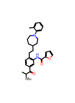 CCCCC(C)C(=O)c1ccc(CCC2CCCN(c3ccccc3C)CC2)c(NC(=O)c2ccco2)c1